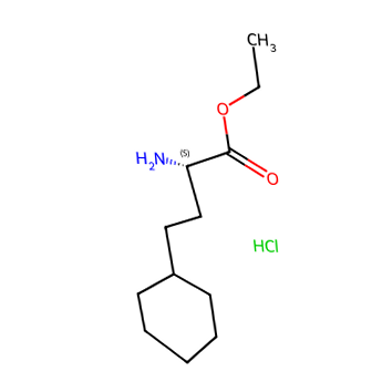 CCOC(=O)[C@@H](N)CCC1CCCCC1.Cl